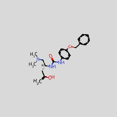 C=C(O)C[C@H](CN(C)C)NC(=O)Nc1ccc(OCc2ccccc2)cc1